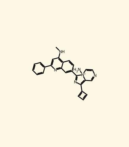 CNc1cc(-c2ccccc2)nc2cc(C3=NC(C4=CC=C4)=C4C=NC=C[N+]34N)ccc12